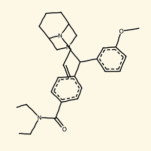 C=CCN1C2CCCC1CN(C(c1ccc(C(=O)N(CC)CC)cc1)c1cccc(OC)c1)C2